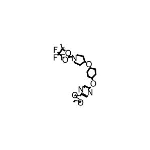 C[C@@H](OC(=O)N1CCC(OC2CCC(Oc3cnc(S(C)(=O)=O)cn3)CC2)CC1)C(F)(F)F